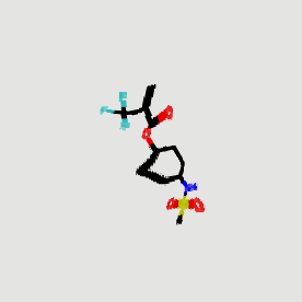 C=C(C(=O)OC1CCC(NS(C)(=O)=O)CC1)C(F)(F)F